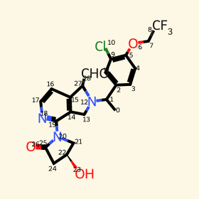 CC(c1ccc(OCC(F)(F)F)c(Cl)c1)N1Cc2c(ccnc2N2C[C@@H](O)CC2=O)C1C=O